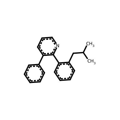 CC(C)Cc1ccccc1-c1ncccc1-c1ccccc1